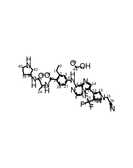 CCc1cc(Nc2nccn3c(-c4cn(CC#N)nc4C(F)(F)F)cnc23)ccc1C(=O)NC(C)C(=O)N[C@@H]1CCNC1.O=CO